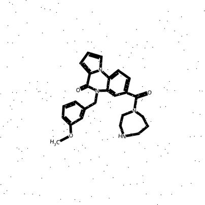 COc1cccc(Cn2c(=O)c3cccn3c3ccc(C(=O)N4CCCNCC4)cc32)c1